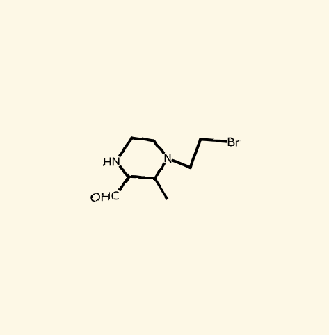 CC1C(C=O)NCCN1CCBr